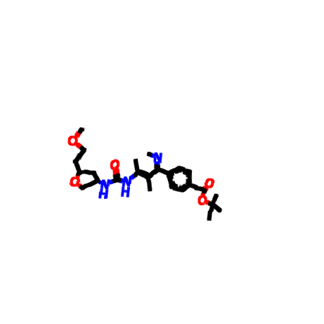 C/N=C(\C(C)=C(/C)NC(=O)N[C@H]1COC(CCOC)C1)c1ccc(C(=O)OC(C)(C)C)cc1